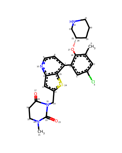 Cc1cc(Cl)cc(-c2ccnc3cc(CN4C(=O)CCN(C)C4=O)sc23)c1O[C@H]1CCCNC1